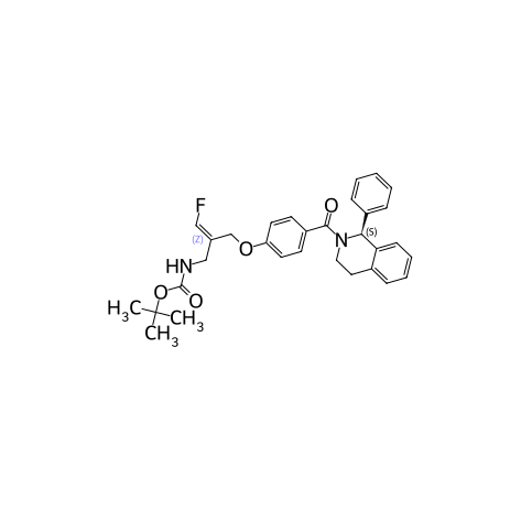 CC(C)(C)OC(=O)NC/C(=C/F)COc1ccc(C(=O)N2CCc3ccccc3[C@@H]2c2ccccc2)cc1